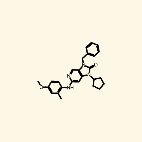 COc1ccc(Nc2cc3c(cn2)n(Cc2ccccc2)c(=O)n3C2CCCC2)c(C)c1